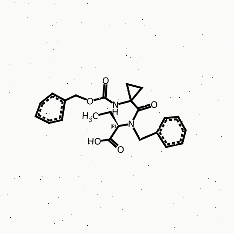 CC[C@H](C(=O)O)N(Cc1ccccc1)C(=O)C1(NC(=O)OCc2ccccc2)CC1